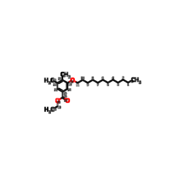 CCCCCCCCCCCCOc1cc(C(=O)OCC)cc(C)c1C